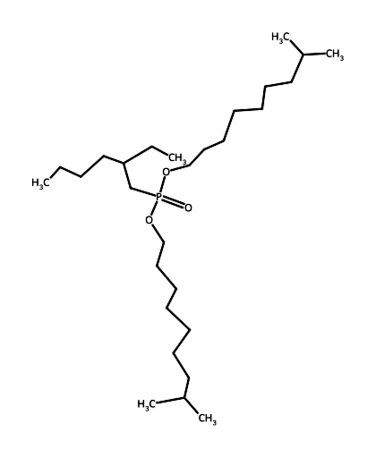 CCCCC(CC)CP(=O)(OCCCCCCCC(C)C)OCCCCCCCC(C)C